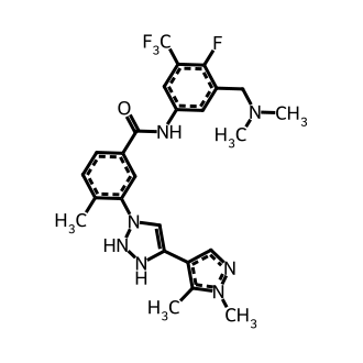 Cc1ccc(C(=O)Nc2cc(CN(C)C)c(F)c(C(F)(F)F)c2)cc1N1C=C(c2cnn(C)c2C)NN1